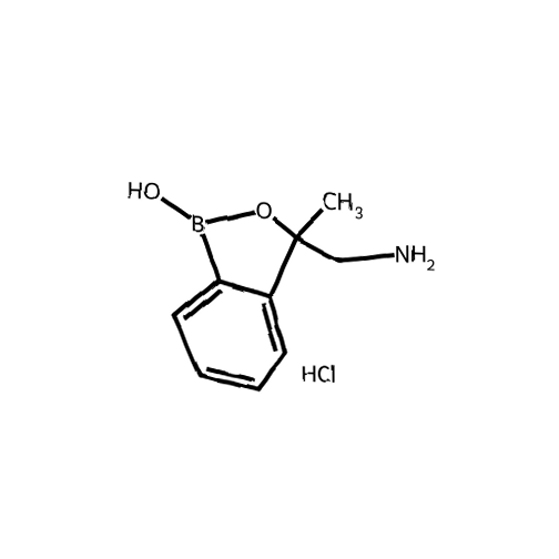 CC1(CN)OB(O)c2ccccc21.Cl